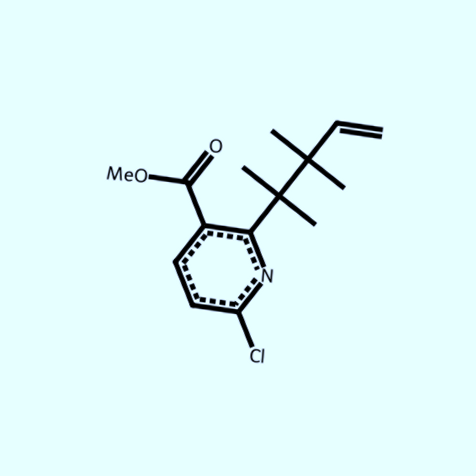 C=CC(C)(C)C(C)(C)c1nc(Cl)ccc1C(=O)OC